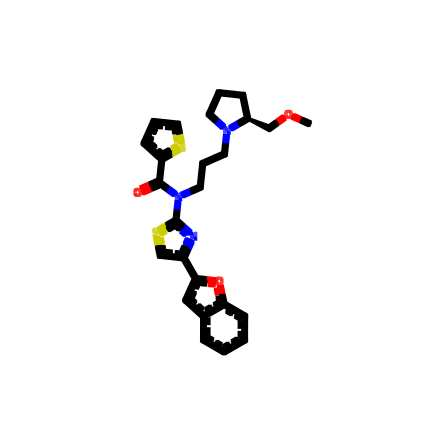 COC[C@@H]1CCCN1CCCN(C(=O)c1cccs1)c1nc(-c2cc3ccccc3o2)cs1